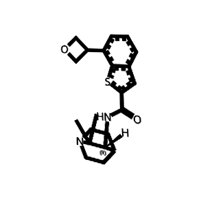 CC1(C)[C@H](NC(=O)c2cc3cccc(C4COC4)c3s2)C2CCN1CC2